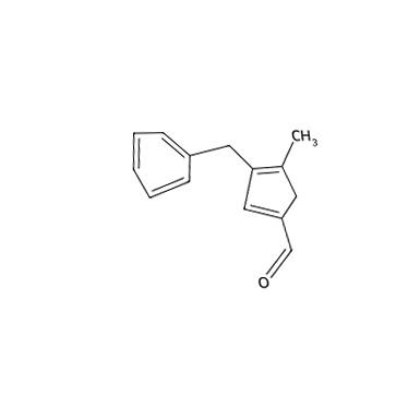 CC1=C(Cc2ccccc2)C=C(C=O)C1